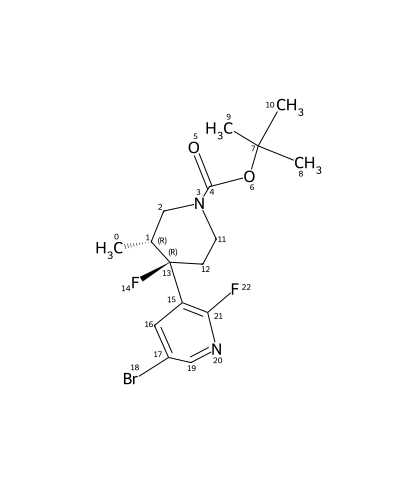 C[C@@H]1CN(C(=O)OC(C)(C)C)CC[C@]1(F)c1cc(Br)cnc1F